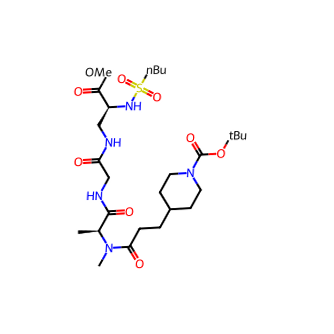 CCCCS(=O)(=O)N[C@@H](CNC(=O)CNC(=O)[C@H](C)N(C)C(=O)CCC1CCN(C(=O)OC(C)(C)C)CC1)C(=O)OC